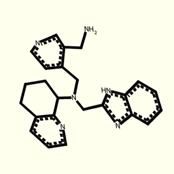 NCc1cnccc1CN(Cc1nc2ccccc2[nH]1)C1CCCc2cccnc21